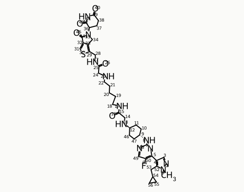 Cn1ncc(-c2nc(N[C@H]3CC[C@H](NCC(=O)NCCCCCNCC(=O)NCc4scc5c4CN(C4CCC(=O)NC4=O)C5=O)CC3)ncc2F)c1CC1CC1